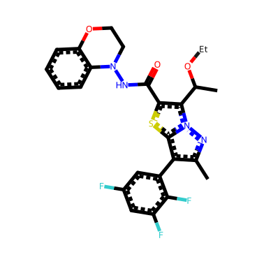 CCOC(C)c1c(C(=O)NN2CCOc3ccccc32)sc2c(-c3cc(F)cc(F)c3F)c(C)nn12